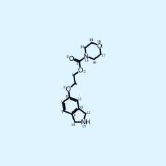 O=C(OCCOc1ccc2c(c1)CNC2)N1CCOCC1